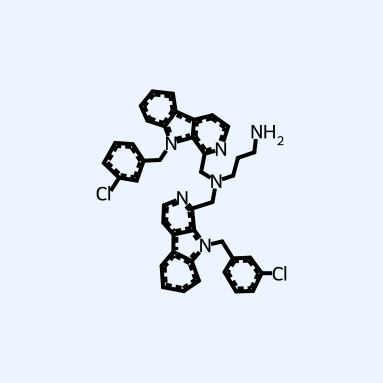 NCCCN(Cc1nccc2c3ccccc3n(Cc3cccc(Cl)c3)c12)Cc1nccc2c3ccccc3n(Cc3cccc(Cl)c3)c12